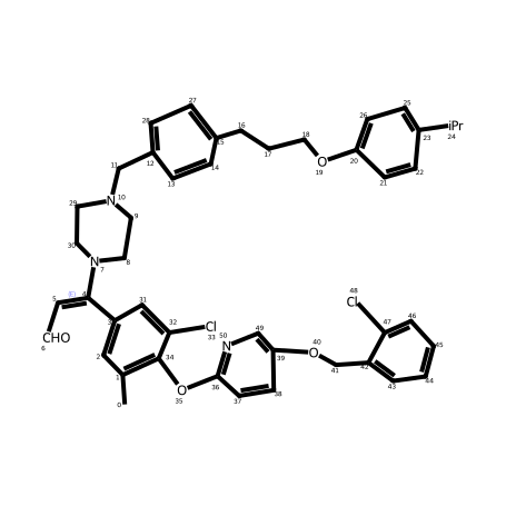 Cc1cc(/C(=C\C=O)N2CCN(Cc3ccc(CCCOc4ccc(C(C)C)cc4)cc3)CC2)cc(Cl)c1Oc1ccc(OCc2ccccc2Cl)cn1